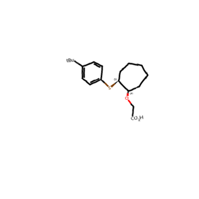 CC(C)(C)c1ccc(S[C@H]2CCCCC[C@H]2OCC(=O)O)cc1